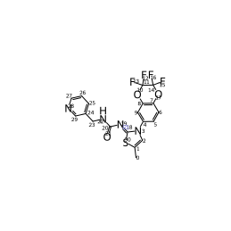 Cc1cn(-c2ccc3c(c2)OC(F)(F)C(F)(F)O3)/c(=N/C(=O)NCc2cccnc2)s1